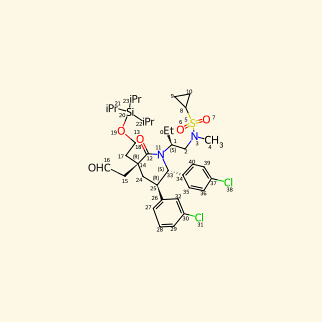 CC[C@@H](CN(C)S(=O)(=O)C1CC1)N1C(=O)[C@@](CC=O)(CCO[Si](C(C)C)(C(C)C)C(C)C)C[C@H](c2cccc(Cl)c2)[C@H]1c1ccc(Cl)cc1